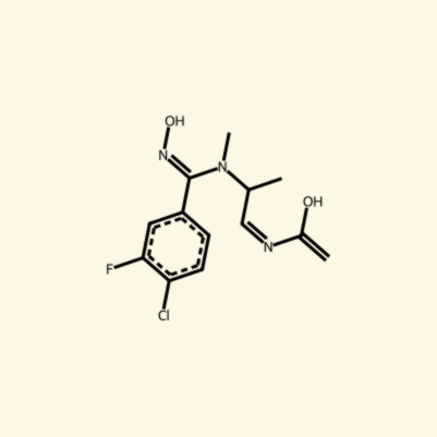 C=C(O)/N=C\C(C)N(C)/C(=N\O)c1ccc(Cl)c(F)c1